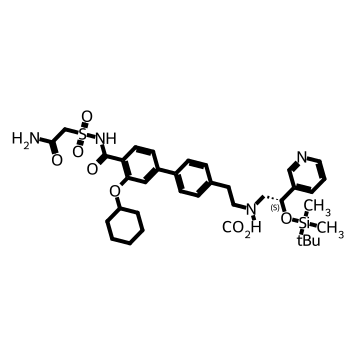 CC(C)(C)[Si](C)(C)O[C@H](CN(CCc1ccc(-c2ccc(C(=O)NS(=O)(=O)CC(N)=O)c(OC3CCCCC3)c2)cc1)C(=O)O)c1cccnc1